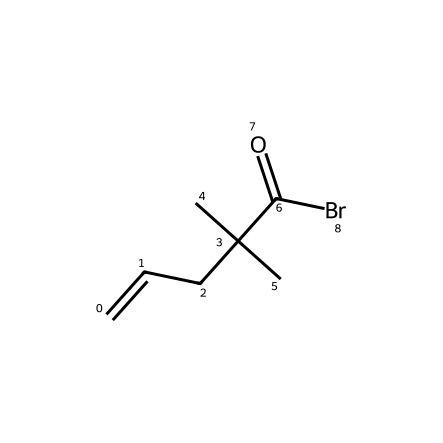 C=CCC(C)(C)C(=O)Br